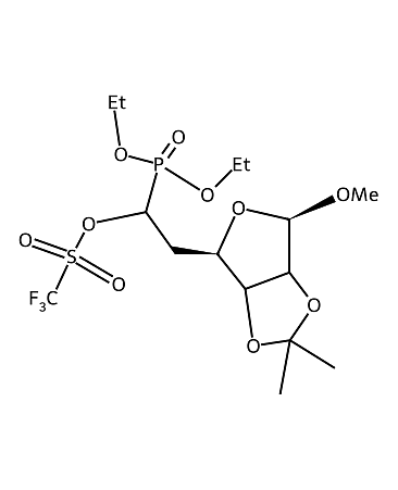 CCOP(=O)(OCC)C(C[C@H]1O[C@@H](OC)C2OC(C)(C)OC21)OS(=O)(=O)C(F)(F)F